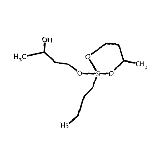 CC(O)CCO[Si]1(CCCS)OCCC(C)O1